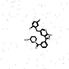 O=C(c1cccc(-c2n[nH]c3ncc(Cc4cc(F)ccc4F)cc23)c1)N1CCC[C@H](O)C1